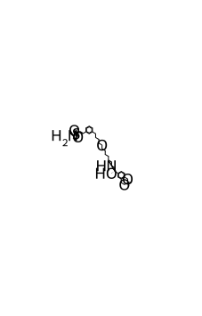 CC1(C)OCc2cc([C@H](O)CNCCCCCCOCCCCc3cccc(/C=C/S(N)(=O)=O)c3)ccc2O1